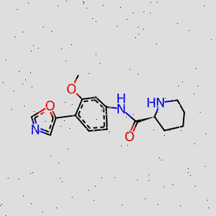 COc1cc(NC(=O)[C@@H]2CCCCN2)ccc1-c1cnco1